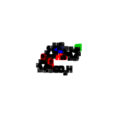 C[C@H](Cc1ccc(S(=O)(=O)c2ccccc2OCC(=O)O)cc1)NC[C@@H](O)c1cccc(Cl)c1